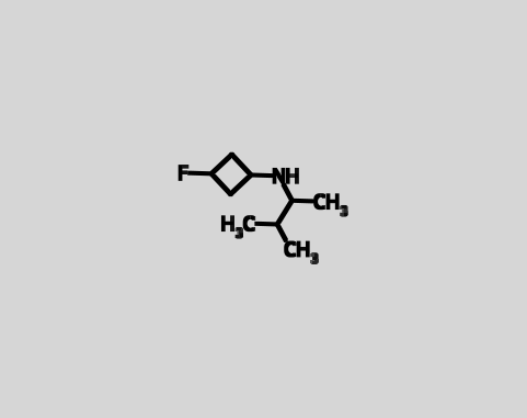 CC(C)C(C)NC1CC(F)C1